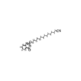 N#CCCCCCCCCCCCCCCOc1nc2ccccc2c(=O)o1